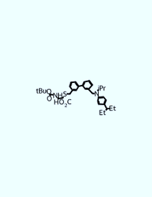 CCC(CC)c1ccc(N(Cc2cccc(-c3cccc(CSC[C@H](NC(=O)OC(C)(C)C)C(=O)O)c3)c2)C(C)C)cc1